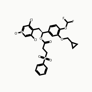 O=C(CCS(=O)(=O)c1ccccc1)O[C@@H](Cc1c(Cl)c[n+]([O-])cc1Cl)c1ccc(OC(F)F)c(OCC2CC2)c1